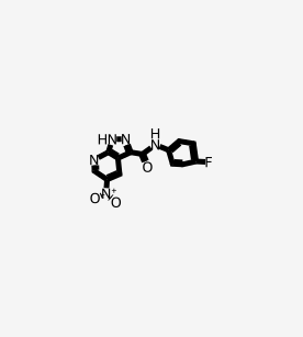 O=C(Nc1ccc(F)cc1)c1n[nH]c2ncc([N+](=O)[O-])cc12